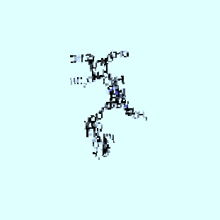 Cc1ccc(/C=N/NCN/N=C/CC(/C=N\NCCC(=O)N2CCC(CCCOc3ccc4nccc(C(=O)NCC(=O)N5CC(C)(F)C[C@@H]5C#N)c4c3)CC2)NC(=O)CN2CCN(COC=O)CCN(COC=O)CCN(CC(=O)O)CC2)cc1